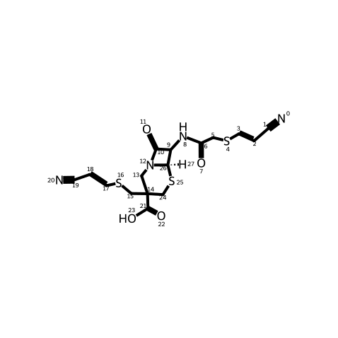 N#CC=CSCC(=O)NC1C(=O)N2CC(CSC=CC#N)(C(=O)O)CS[C@H]12